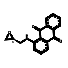 O=C1c2ccccc2C(=O)c2c(NC[C@H]3CO3)cccc21